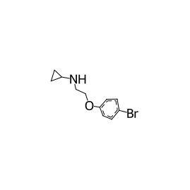 Brc1ccc(OCCNC2CC2)cc1